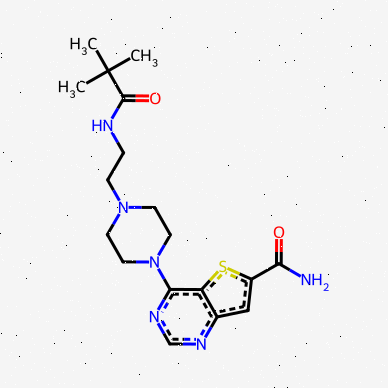 CC(C)(C)C(=O)NCCN1CCN(c2ncnc3cc(C(N)=O)sc23)CC1